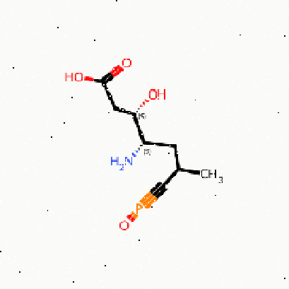 CC(C#P=O)C[C@H](N)[C@@H](O)CC(=O)O